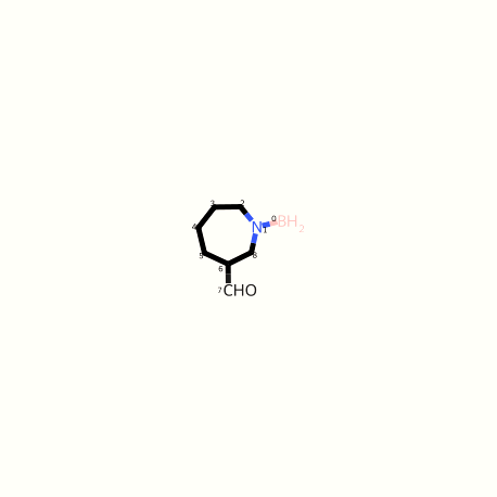 BN1CCCCC(C=O)C1